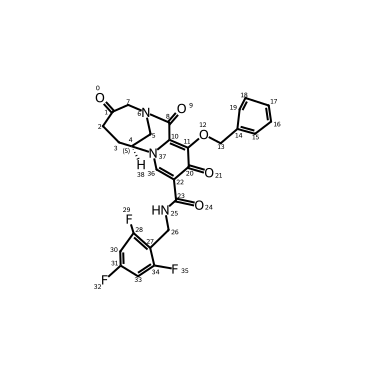 O=C1CC[C@H]2CN(C1)C(=O)c1c(OCc3ccccc3)c(=O)c(C(=O)NCc3c(F)cc(F)cc3F)cn12